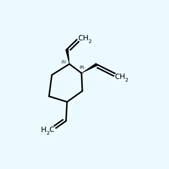 C=CC1CC[C@@H](C=C)[C@@H](C=C)C1